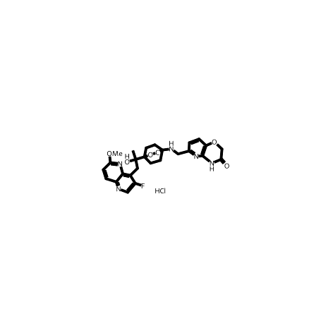 COc1ccc2ncc(F)c(CC(C)(O)C34CCC(NCc5ccc6c(n5)NC(=O)CO6)(CC3)CO4)c2n1.Cl